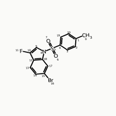 Cc1ccc(S(=O)(=O)n2cc(F)c3ccc(Br)cc32)cc1